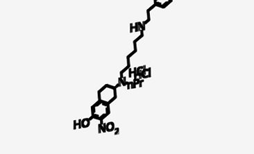 CCCN(CCCCCCNCCc1ccccc1)[C@@H]1CCc2cc(O)c([N+](=O)[O-])cc2C1.Cl.Cl